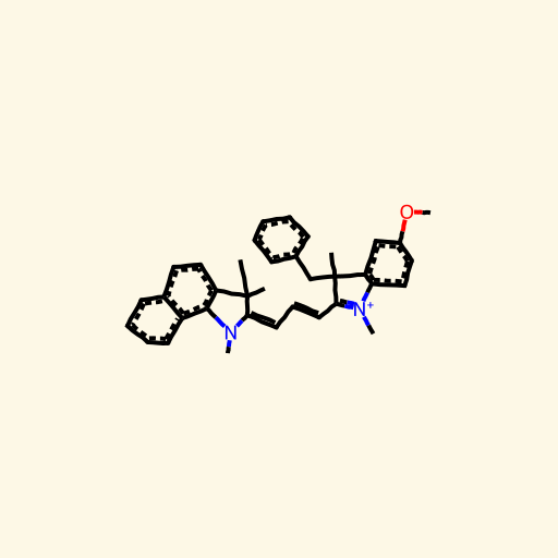 COc1ccc2c(c1)C(C)(Cc1ccccc1)C(/C=C/C=C1/N(C)c3c(ccc4ccccc34)C1(C)C)=[N+]2C